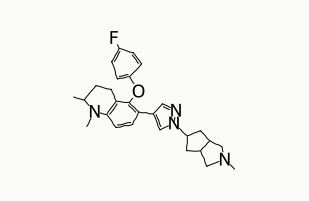 CC1CCc2c(ccc(-c3cnn(C4CC5CN(C)CC5C4)c3)c2Oc2ccc(F)cc2)N1C